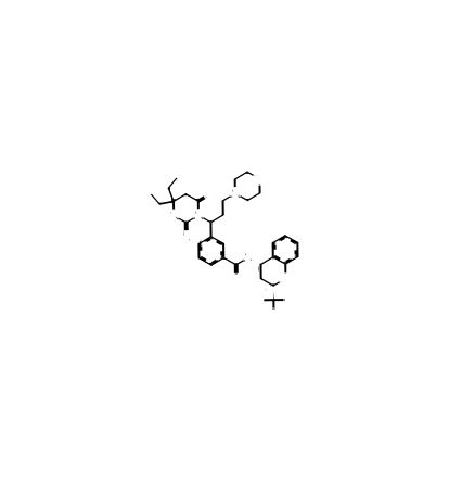 CCC1(CC)CC(=O)N(C(CCN2CCOCC2)c2cccc(C(=O)N[C@H]3C[C@H](C(F)(F)F)Oc4ccccc43)c2)C(=N)N1